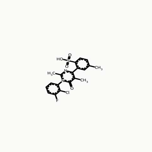 Cc1ccc(S(=O)(=O)O)c(-c2nc(C)n(-c3cccc(F)c3Cl)c(=O)c2C)c1